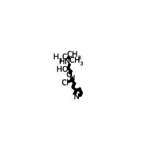 CC(C)(C)NCC(O)CON=C(Cl)C=Cc1cccnc1